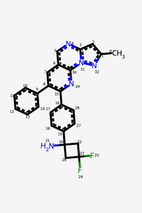 Cc1cc2ncc3cc(-c4ccccc4)c(-c4ccc(C5(N)CC(F)(F)C5)cc4)nc3n2n1